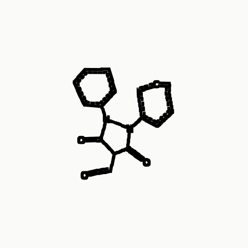 O=CC1C(=O)N(c2ccccc2)N(c2ccccc2)C1=O